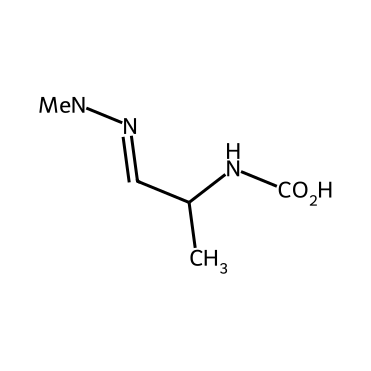 CN/N=C/C(C)NC(=O)O